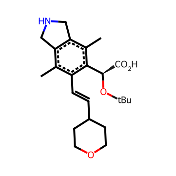 Cc1c(/C=C/C2CCOCC2)c([C@H](OC(C)(C)C)C(=O)O)c(C)c2c1CNC2